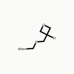 CCC[CH]CCOCC1(CC)COC1